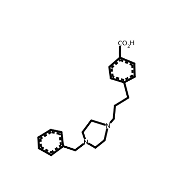 O=C(O)c1ccc(CCCN2CCN(Cc3ccccc3)CC2)cc1